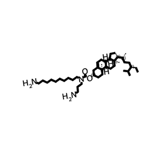 CC[C@H](CC[C@@H](C)[C@H]1CC[C@H]2[C@@H]3CC=C4C[C@@H](OC(=O)N(CCCN)CCCCCCCCCCN)CC[C@]4(C)[C@H]3CC[C@]12C)C(C)C